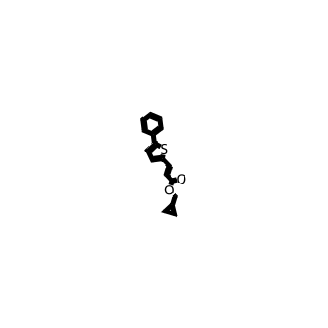 O=C(C=Cc1ccc(-c2ccccc2)s1)OCC1CC1